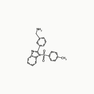 Cc1ccc(S(=O)(=O)n2c(-c3cccc(CN)c3)nc3ccccc32)cc1